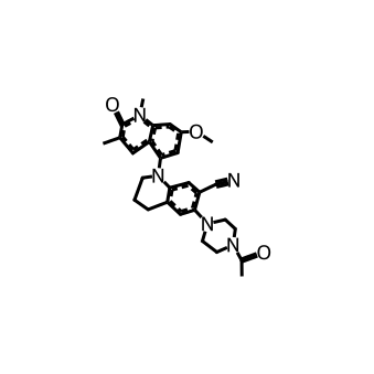 COc1cc(N2CCCc3cc(N4CCN(C(C)=O)CC4)c(C#N)cc32)c2cc(C)c(=O)n(C)c2c1